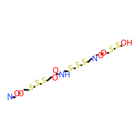 C/N=C/OOCCSCSCSCCOC(=O)NCCSCSCSCC/N=C/OOCSCSCO